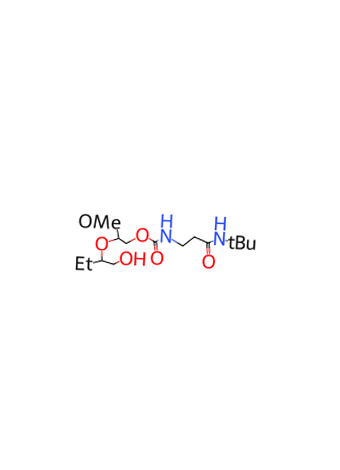 CCC(CO)OC(COC(=O)NCCC(=O)NC(C)(C)C)OC